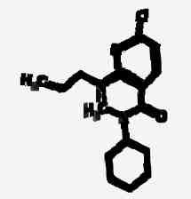 CCCNc1nc(Cl)ccc1C(=O)N(C)C1CCCCC1